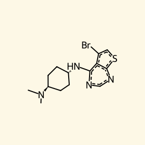 CN(C)[C@H]1CC[C@H](Nc2ncnc3scc(Br)c23)CC1